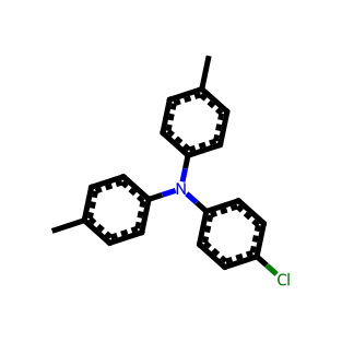 Cc1ccc(N(c2ccc(C)cc2)c2ccc(Cl)cc2)cc1